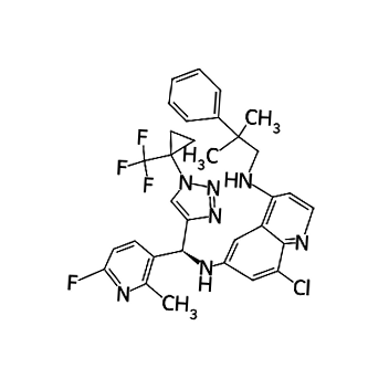 Cc1nc(F)ccc1[C@H](Nc1cc(Cl)c2nccc(NCC(C)(C)c3ccccc3)c2c1)c1cn(C2(C(F)(F)F)CC2)nn1